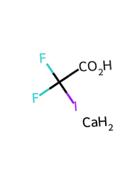 O=C(O)C(F)(F)I.[CaH2]